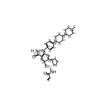 C=CC(=O)NC[C@H]1CCCN1c1nc(Nc2ccc(N3CCC(N4CCN(C)CC4)CC3)cc2)c(C(N)=O)nc1CC